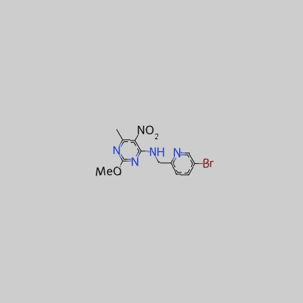 COc1nc(C)c([N+](=O)[O-])c(NCc2ccc(Br)cn2)n1